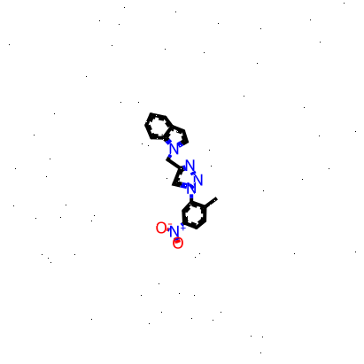 Cc1ccc([N+](=O)[O-])cc1-n1cc(Cn2ccc3ccccc32)nn1